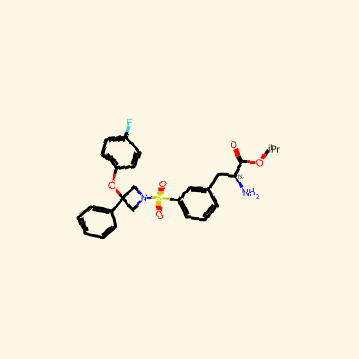 CC(C)OC(=O)[C@@H](N)Cc1cccc(S(=O)(=O)N2CC(Oc3ccc(F)cc3)(c3ccccc3)C2)c1